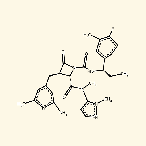 CC[C@@H](NC(=O)N1C(=O)[C@H](Cc2cc(C)nc(N)c2)[C@H]1C(=O)N(C)c1ccnn1C)c1ccc(F)c(C)c1